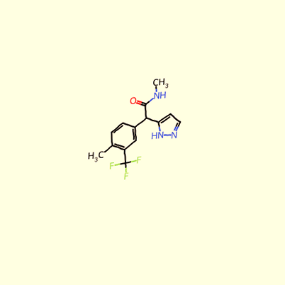 CNC(=O)C(c1ccc(C)c(C(F)(F)F)c1)c1ccn[nH]1